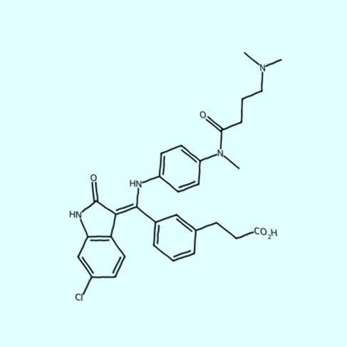 CN(C)CCCC(=O)N(C)c1ccc(N/C(=C2\C(=O)Nc3cc(Cl)ccc32)c2cccc(CCC(=O)O)c2)cc1